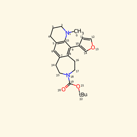 CN1CCCc2cc3c(c(-c4ccoc4)c21)CCN(C(=O)OC(C)(C)C)CC3